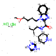 COCCCCn1c(C(=O)N(CC(C)C)[C@@H]2CNC[C@H](c3nnc[nH]3)C2)nc2ccccc21.Cl.Cl